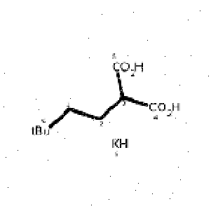 CC(C)(C)CCC(C(=O)O)C(=O)O.[KH]